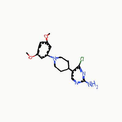 COc1cc(OC)cc(N2CCC(c3cnc(N)nc3Cl)CC2)c1